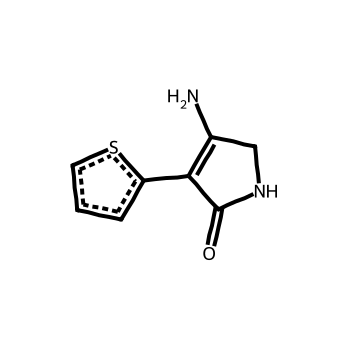 NC1=C(c2cccs2)C(=O)NC1